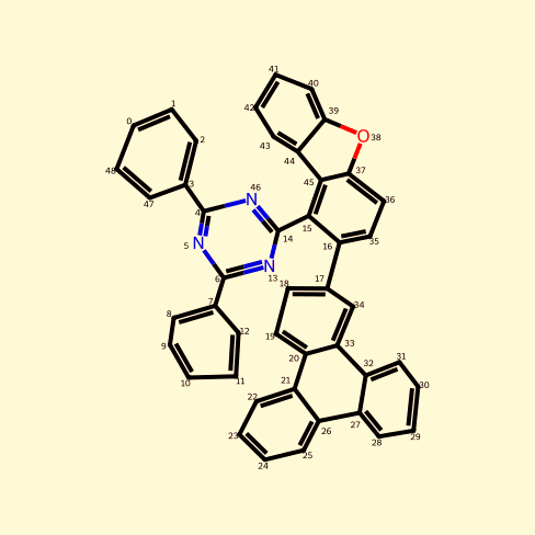 c1ccc(-c2nc(-c3ccccc3)nc(-c3c(-c4ccc5c6ccccc6c6ccccc6c5c4)ccc4oc5ccccc5c34)n2)cc1